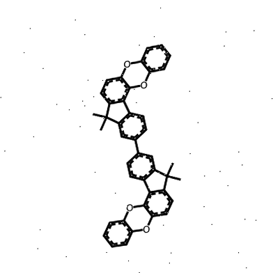 CC1(C)c2cc(-c3ccc4c(c3)C(C)(C)c3ccc5c(c3-4)Oc3ccccc3O5)ccc2-c2c1ccc1c2Oc2ccccc2O1